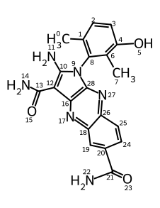 Cc1ccc(O)c(C)c1-n1c(N)c(C(N)=O)c2nc3cc(C(N)=O)ccc3nc21